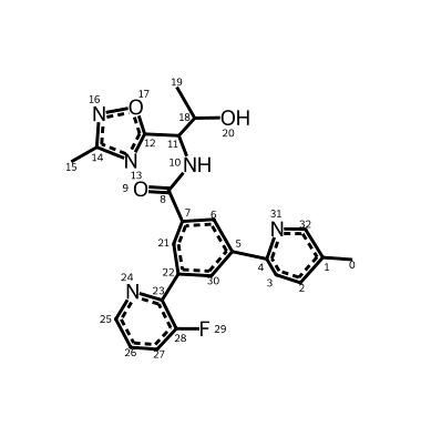 Cc1ccc(-c2cc(C(=O)NC(c3nc(C)no3)C(C)O)cc(-c3ncccc3F)c2)nc1